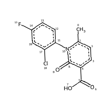 Cc1ccc(C(=O)O)c(=O)n1-c1ccc(F)cc1Cl